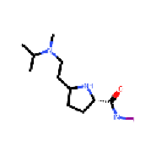 CC(C)N(C)CCC1CC[C@@H](C(=O)NI)N1